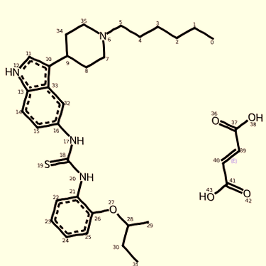 CCCCCCN1CCC(c2c[nH]c3ccc(NC(=S)Nc4ccccc4OC(C)CC)cc23)CC1.O=C(O)/C=C/C(=O)O